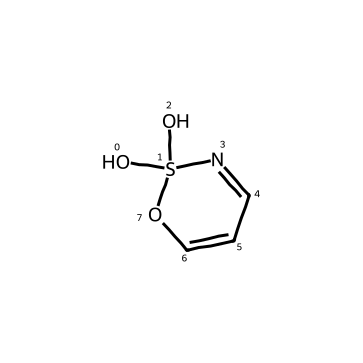 OS1(O)N=CC=CO1